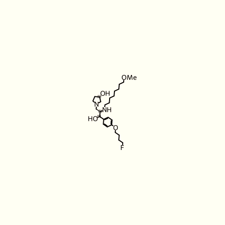 COCCCCCCCCN[C@H](CN1CC[C@H](O)C1)[C@H](O)c1ccc(OCCCCF)cc1